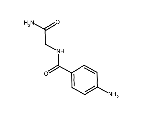 NC(=O)CNC(=O)c1ccc(N)cc1